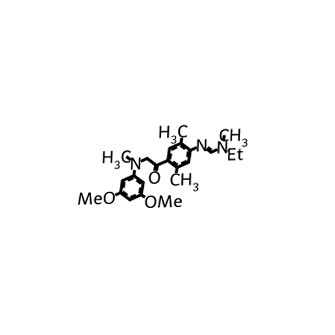 CCN(C)C=Nc1cc(C)c(C(=O)CN(C)c2cc(OC)cc(OC)c2)cc1C